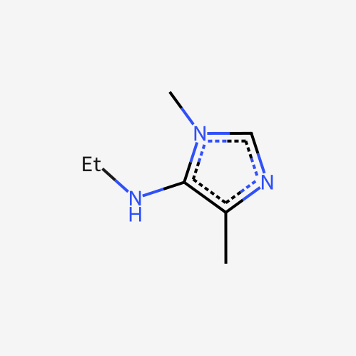 CCNc1c(C)ncn1C